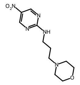 O=[N+]([O-])c1cnc(NCCCN2CCOCC2)nc1